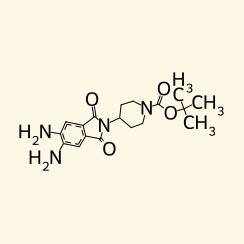 CC(C)(C)OC(=O)N1CCC(N2C(=O)c3cc(N)c(N)cc3C2=O)CC1